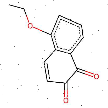 CCOc1cccc2c1C=CC(=O)C2=O